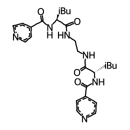 CCC(C)[C@H](NC(=O)c1ccncc1)C(=O)NCCNC(=O)[C@@H](NC(=O)c1ccncc1)C(C)CC